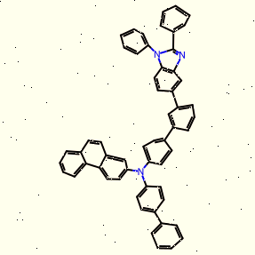 c1ccc(-c2ccc(N(c3ccc(-c4cccc(-c5ccc6c(c5)nc(-c5ccccc5)n6-c5ccccc5)c4)cc3)c3ccc4c(ccc5ccccc54)c3)cc2)cc1